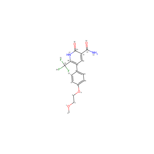 COCCOc1ccc(-c2cc(C(N)=O)c(=O)[nH]c2C(F)(F)F)cc1